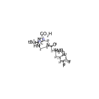 C/C1=C(C(=O)O)\N=C(\C(C)(C)C)NCCN(C(=O)CC(N)Cc2cc(F)c(F)cc2C)C1